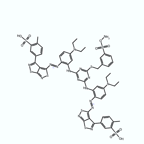 CCN(CC)c1ccc(/N=N/c2snc3snc(-c4ccc(C)c(S(=O)(=O)O)c4)c23)c(Nc2nc(Nc3cc(N(CC)CC)ccc3/N=N/c3snc4snc(-c5ccc(C)c(S(=O)(=O)O)c5)c34)nc(SCc3cccc(S(=O)(=O)ON)c3)n2)c1